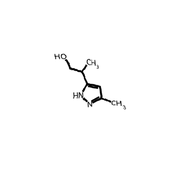 Cc1cc(C(C)CO)[nH]n1